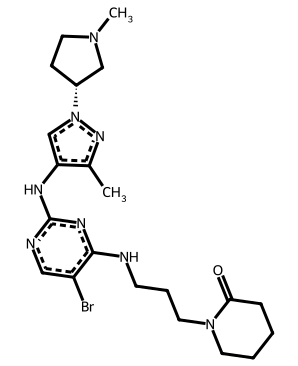 Cc1nn([C@@H]2CCN(C)C2)cc1Nc1ncc(Br)c(NCCCN2CCCCC2=O)n1